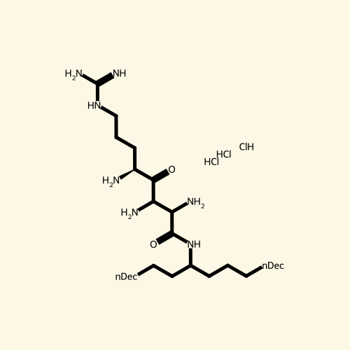 CCCCCCCCCCCCCC(CCCCCCCCCCCC)NC(=O)C(N)C(N)C(=O)[C@@H](N)CCCNC(=N)N.Cl.Cl.Cl